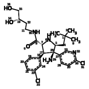 CC(C)(C)C[C@@H]1N[C@@H](C(=O)NCC[C@H](O)CO)[C@H](c2cccc(Cl)c2)[C@@]1(N)c1ccc(Cl)nc1